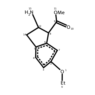 CCOc1ccc2c(c1)C(C(=O)OC)C(N)C2